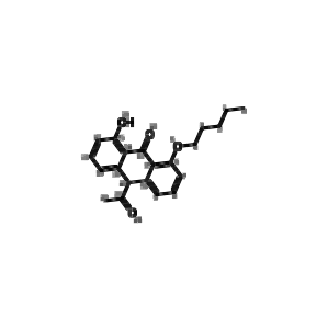 CCCCCOc1cccc2c1C(=O)c1c(O)cccc1C2C(C)=O